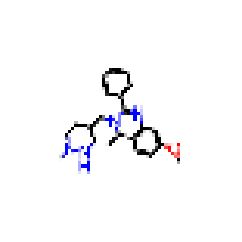 COc1ccc2c(c1)N=C(c1ccccc1)N(CC1CCN(C)NC1)C2C